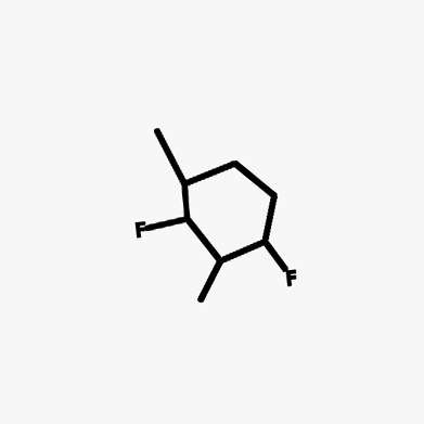 CC1CCC(F)C(C)C1F